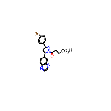 O=C(O)CCC(=O)N1N=C(c2ccc(Br)cc2)CC1c1ccc2nccnc2c1